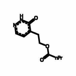 CCCC(=O)OCCc1ccn[nH]c1=O